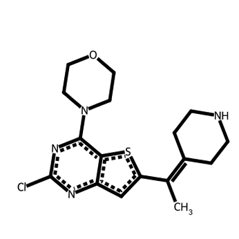 CC(=C1CCNCC1)c1cc2nc(Cl)nc(N3CCOCC3)c2s1